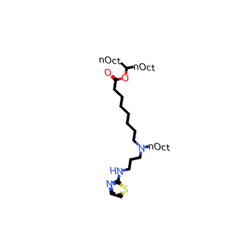 CCCCCCCCC(CCCCCCCC)OC(=O)CCCCCCCN(CCCCCCCC)CCCNc1nccs1